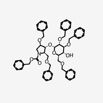 O=C(OCc1ccccc1)N1C[C@@H](OCc2ccccc2)[C@H](O[C@H]2O[C@H](COCc3ccccc3)[C@@H](O)[C@H](OCc3ccccc3)[C@H]2OCc2ccccc2)[C@H]1COCc1ccccc1